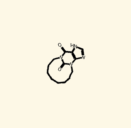 O=c1c2[nH]cnc2n2c(=O)n1CCCCCCCC2